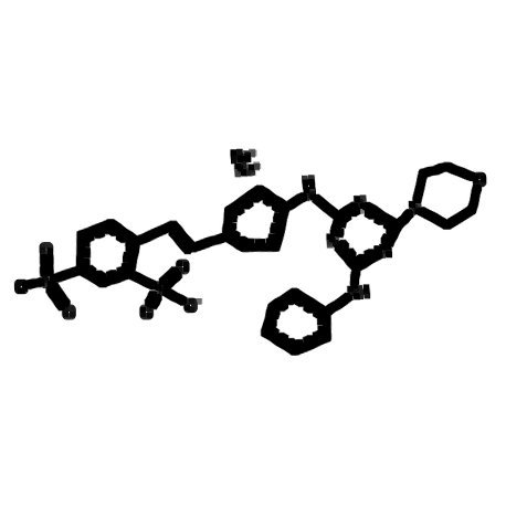 O=S(=O)([O-])c1ccc(C=Cc2ccc(Nc3nc(Nc4ccccc4)nc(N4CCOCC4)n3)cc2)c(S(=O)(=O)[O-])c1.[Na+].[Na+]